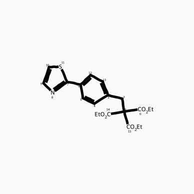 CCOC(=O)C(Cc1ccc(-c2nccs2)cc1)(C(=O)OCC)C(=O)OCC